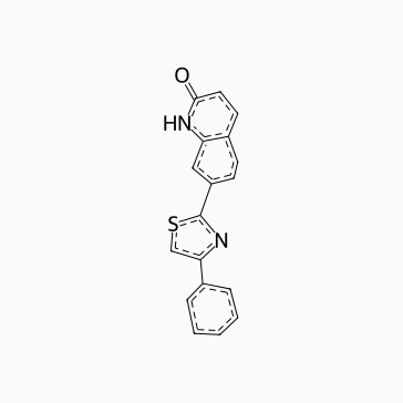 O=c1ccc2ccc(-c3nc(-c4ccccc4)cs3)cc2[nH]1